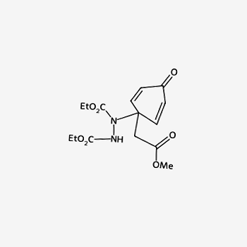 CCOC(=O)NN(C(=O)OCC)C1(CC(=O)OC)C=CC(=O)C=C1